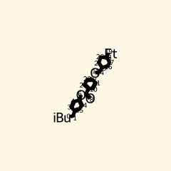 CCC(C)Cc1ccc(OC(=O)c2ccc(OCC3CCC(CC)CC3)cc2)cc1